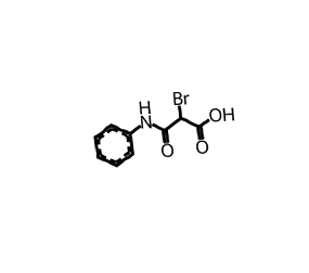 O=C(O)C(Br)C(=O)Nc1ccccc1